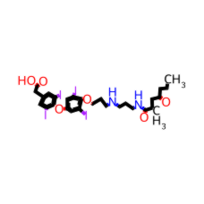 CCCC(=O)CC(C)C(=O)NCCCNCCCOc1c(I)cc(Oc2c(I)cc(CC(=O)O)cc2I)cc1I